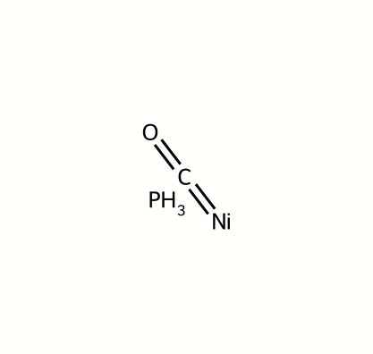 O=[C]=[Ni].P